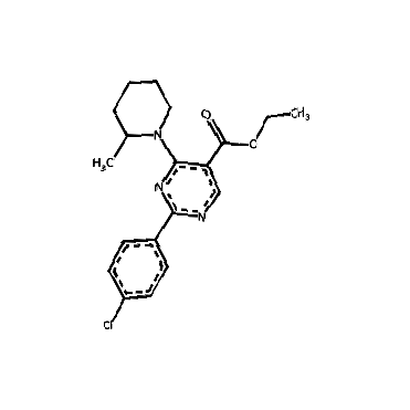 CCOC(=O)c1cnc(-c2ccc(Cl)cc2)nc1N1CCCCC1C